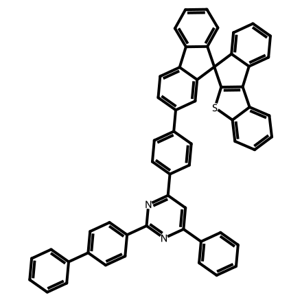 c1ccc(-c2ccc(-c3nc(-c4ccccc4)cc(-c4ccc(-c5ccc6c(c5)C5(c7ccccc7-6)c6ccccc6-c6c5sc5ccccc65)cc4)n3)cc2)cc1